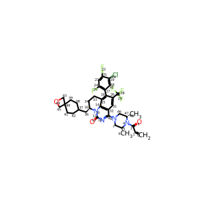 C=CC(=O)N1[C@H](C)CN(c2nc(=O)n3c4c(c(-c5cc(Cl)c(F)cc5F)c(C(F)(F)F)cc24)CC[C@@H]3CC2CCC3(CC2)COC3)C[C@@H]1C